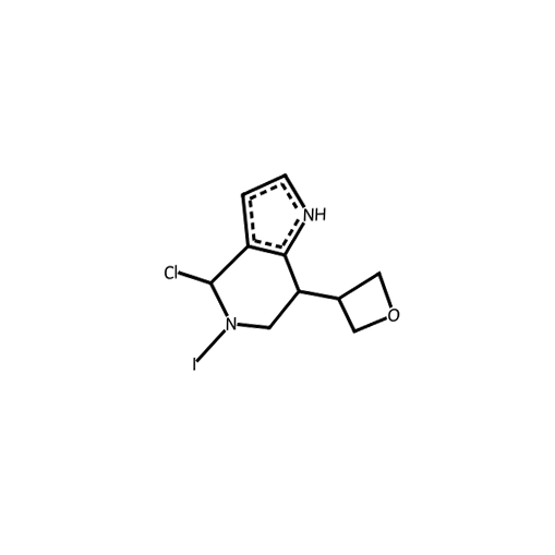 ClC1c2cc[nH]c2C(C2COC2)CN1I